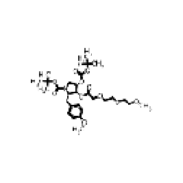 COCCOCCOCC(=O)O[C@@H]1[C@@H](OC(=O)OC(C)(C)C)CN(C(=O)OC(C)(C)C)[C@@H]1Cc1ccc(OC)cc1